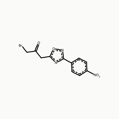 O=C(CBr)Cc1nc(-c2ccc([N+](=O)[O-])cc2)no1